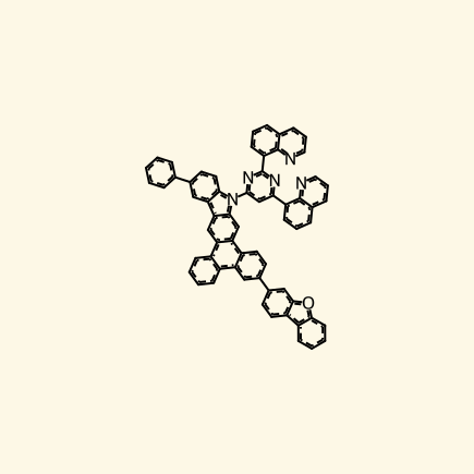 c1ccc(-c2ccc3c(c2)c2cc4c5ccccc5c5cc(-c6ccc7c(c6)oc6ccccc67)ccc5c4cc2n3-c2cc(-c3cccc4cccnc34)nc(-c3cccc4cccnc34)n2)cc1